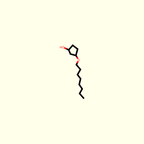 CCCCCCCCOC1CCC(O)C1